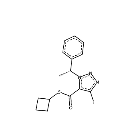 C[C@H](c1ccccc1)n1nnc(I)c1C(=O)SC1CCC1